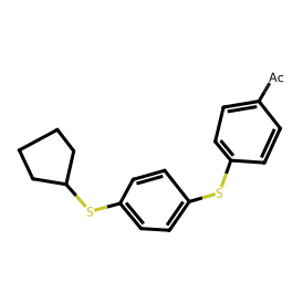 CC(=O)c1ccc(Sc2ccc(SC3CCCC3)cc2)cc1